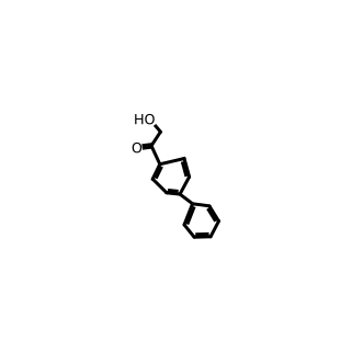 O=C(CO)c1ccc(-c2ccccc2)cc1